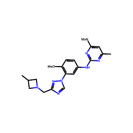 CNc1cc(C)nc(Nc2ccc(OC)c(-n3cnc(CN4CC(C)C4)n3)c2)n1